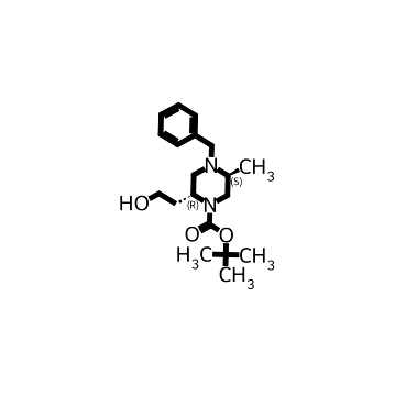 C[C@H]1CN(C(=O)OC(C)(C)C)[C@H](CCO)CN1Cc1ccccc1